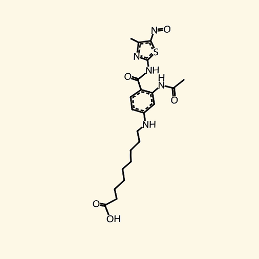 CC(=O)Nc1cc(NCCCCCCCCC(=O)O)ccc1C(=O)Nc1nc(C)c(N=O)s1